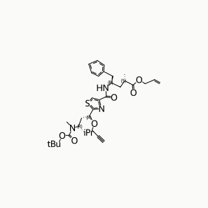 C#CCO[C@H](C[C@H](C(C)C)N(C)C(=O)OC(C)(C)C)c1nc(C(=O)N[C@@H](Cc2ccccc2)C[C@H](C)C(=O)OCC=C)cs1